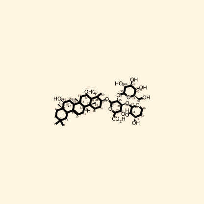 CC1(C)CC[C@@]2(C)C(C1)C1=CC[C@@H]3[C@@]4(C)CC[C@H](OC5OC(C(=O)O)[C@H](O)[C@H](OC6OCC[C@H](O)[C@@H]6O)[C@H]5OC5O[C@H](CO)[C@H](O)[C@H](O)[C@H]5O)[C@@](C)(C=O)C4CC[C@@]3(C)[C@]1(C)C[C@H]2O